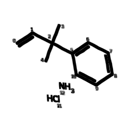 C=CC(C)(C)c1ccccc1.Cl.N